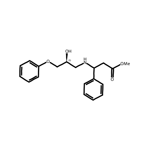 COC(=O)CC(NC[C@H](O)COc1ccccc1)c1ccccc1